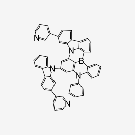 c1ccc(N2c3ccccc3B3c4c2cc(-n2c5ccccc5c5ccc(-c6cccnc6)cc52)cc4-n2c4cc(-c5cccnc5)ccc4c4cccc3c42)cc1